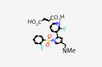 CNCc1cc(-c2cccnc2F)n(S(=O)(=O)c2ccccc2F)c1.O=C(O)C=CC(=O)O